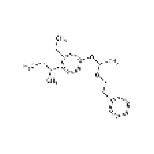 CCc1cc(OC(C)OCCc2ccccc2)ccc1C(C)CC